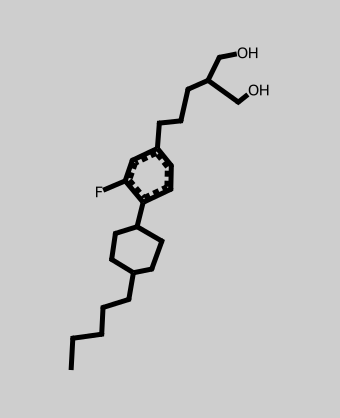 CCCCCC1CCC(c2ccc(CCCC(CO)CO)cc2F)CC1